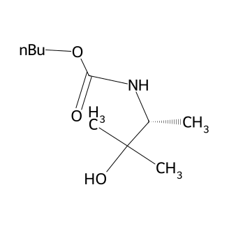 CCCCOC(=O)N[C@H](C)C(C)(C)O